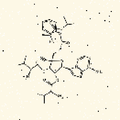 CC(C)OC(=O)[C@H](C)N[P@](=O)(OC[C@@]1(C#N)O[C@@H](c2ccc3c(N)ncnn23)[C@H](OC(=O)C(N)C(C)C)[C@@H]1OC(=O)[C@@H](N)C(C)C)Oc1ccccc1